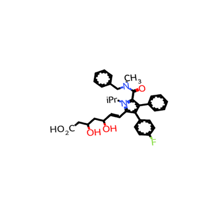 CC(C)n1c(C=CC(O)CC(O)CC(=O)O)c(-c2ccc(F)cc2)c(-c2ccccc2)c1C(=O)N(C)Cc1ccccc1